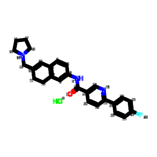 Cl.O=C(Nc1ccc2c(c1)CCC(CN1CCCC1)=C2)c1ccc(-c2ccc(F)cc2)nc1